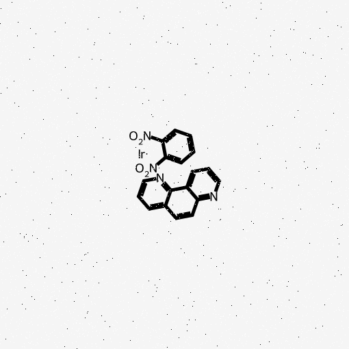 O=[N+]([O-])c1ccccc1[N+](=O)[O-].[Ir].c1cnc2c(c1)ccc1ncccc12